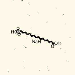 O=C(O)CCCCCCCCCCCCCCCS(=O)(=O)O.[NaH]